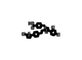 O=C(O)c1ccc(Cn2cc(-c3ccc(Cl)cc3Cl)nc2C=Cc2ccc(-c3ccc(Cl)s3)cc2)cc1